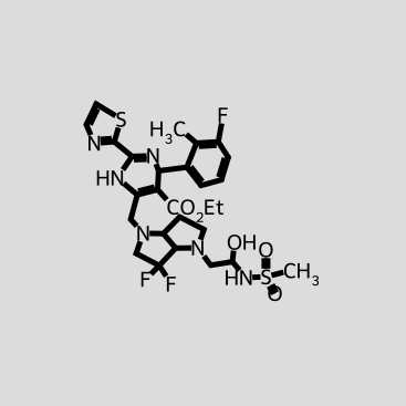 CCOC(=O)C1=C(CN2CC(F)(F)C3C2CCN3CC(O)NS(C)(=O)=O)NC(c2nccs2)=NC1c1cccc(F)c1C